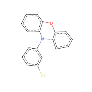 Sc1cccc(N2c3ccccc3Oc3ccccc32)c1